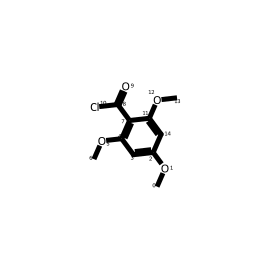 COc1cc(OC)c(C(=O)Cl)c(OC)c1